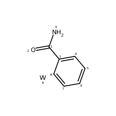 NC(=O)c1ccccc1.[W]